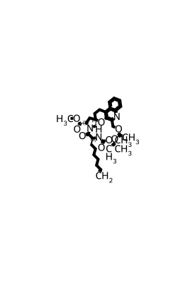 C=CCCCCC[C@H](NC(=O)OC(C)(C)C)C(=O)N1C[C@@]2(CCc3c(c(COC(C)=O)nc4ccccc34)O2)C[C@H]1C(=O)OC